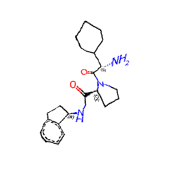 N[C@H](C(=O)N1CCC[C@H]1C(=O)N[C@@H]1CCc2ccccc21)C1CCCCC1